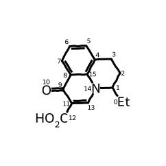 CCC1CCc2cccc3c(=O)c(C(=O)O)cn1c23